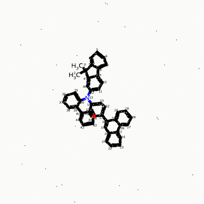 CC1(C)c2ccccc2-c2ccc(N(c3ccc(-c4cc5ccccc5c5ccccc45)cc3)c3ccccc3-c3ccccc3)cc21